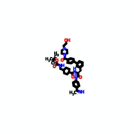 CC(=N)c1ccc(NC(=O)[C@H](Cc2cccc(-c3ccc(C(=O)N4CCN(CCO)CC4)cc3)c2)NC(=O)C2CCC(CNC(=O)OC(C)(C)C)CC2)cc1